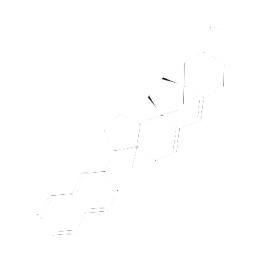 CO[C@@H]1CCC2=CC3=CCC4(C)C(c5ccc6ccncc6c5)CC[C@H]4[C@@]34CC[C@]2(C1)O4